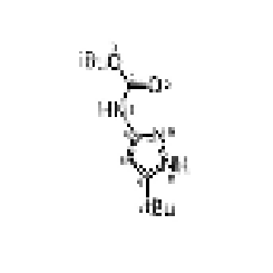 CC(C)COC(=O)Nc1cc(C(C)(C)C)[nH]n1